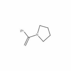 C=C(C(C)C)N1CCCC1